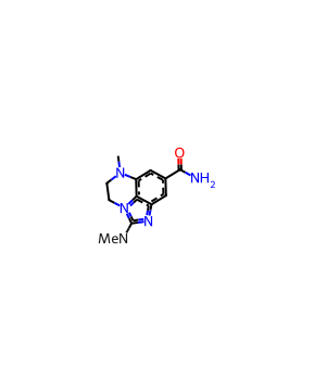 CNc1nc2cc(C(N)=O)cc3c2n1CCN3C